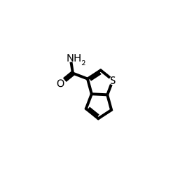 NC(=O)C1=CSC2CC=CC12